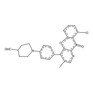 Cc1cnc2c(=O)c3c(Cl)cccc3oc2c1-c1ccc(N2CCC(C=O)CC2)cc1